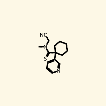 CN(CC#N)C(=S)C1(c2cccnc2)CCCCC1